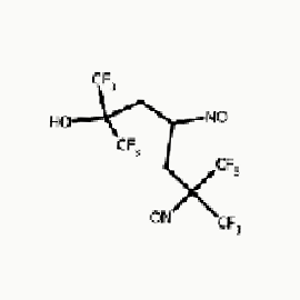 O=NC(CC(O)(C(F)(F)F)C(F)(F)F)CC(N=O)(C(F)(F)F)C(F)(F)F